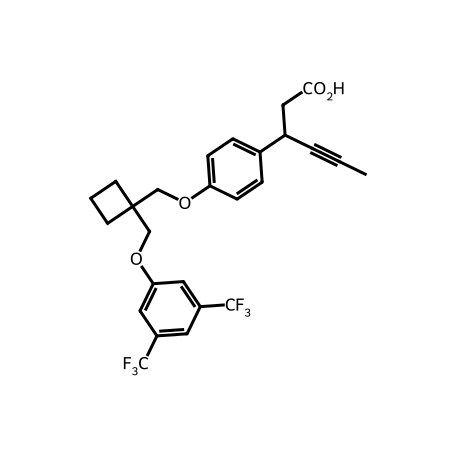 CC#CC(CC(=O)O)c1ccc(OCC2(COc3cc(C(F)(F)F)cc(C(F)(F)F)c3)CCC2)cc1